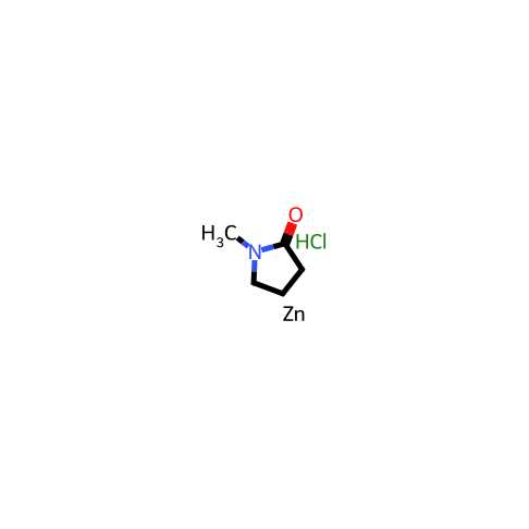 CN1CCCC1=O.Cl.[Zn]